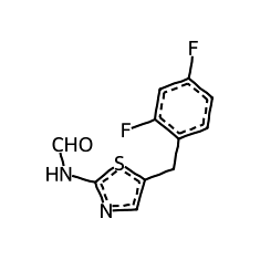 O=CNc1ncc(Cc2ccc(F)cc2F)s1